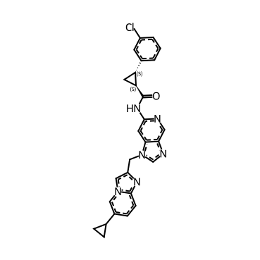 O=C(Nc1cc2c(cn1)ncn2Cc1cn2cc(C3CC3)ccc2n1)[C@H]1C[C@@H]1c1cccc(Cl)c1